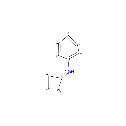 c1ccc(NC2CC[N]2)cc1